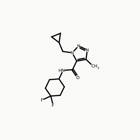 Cc1nnn(CC2CC2)c1C(=O)NC1CCC(F)(F)CC1